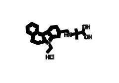 CCn1c2cc(CNC(C)(C)C(O)O)ccc2c2c3ccccc3ccc21.Cl